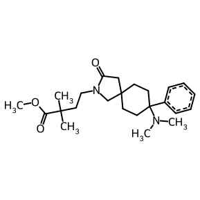 COC(=O)C(C)(C)CCN1CC2(CCC(c3ccccc3)(N(C)C)CC2)CC1=O